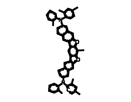 Cc1ccc(N(c2ccc3cc4c(cc3c2)oc2c(C)c3oc5cc6cc(N(c7ccccc7C)c7ccc(C)cc7C)ccc6cc5c3cc24)c2ccccc2C)c(C)c1